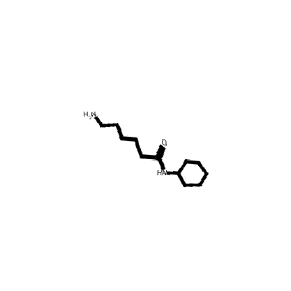 NCCCCCC(=O)NC1CCCCC1